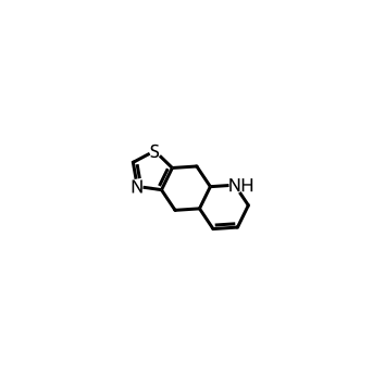 C1=CC2Cc3ncsc3CC2NC1